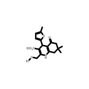 CCOCC1=C(C(=O)OCC)C(c2ccc(C)o2)C2=C(CC(C)(C)CC2=O)N1